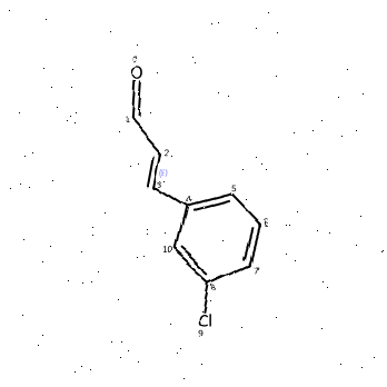 O=C/C=C/c1cccc(Cl)c1